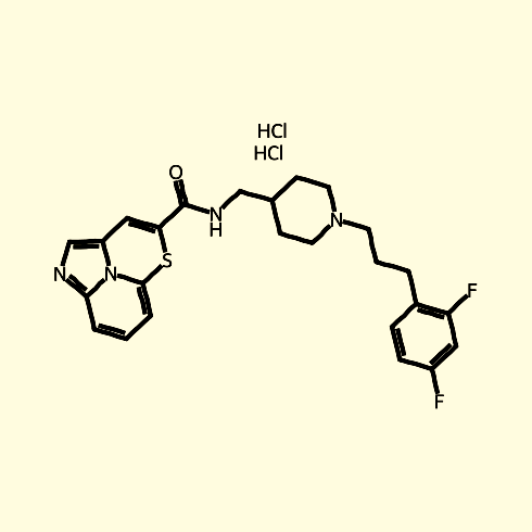 Cl.Cl.O=C(NCC1CCN(CCCc2ccc(F)cc2F)CC1)C1=Cc2cnc3cccc(n23)S1